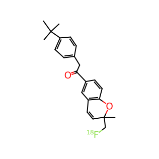 CC1(C[18F])C=Cc2cc(C(=O)Cc3ccc(C(C)(C)C)cc3)ccc2O1